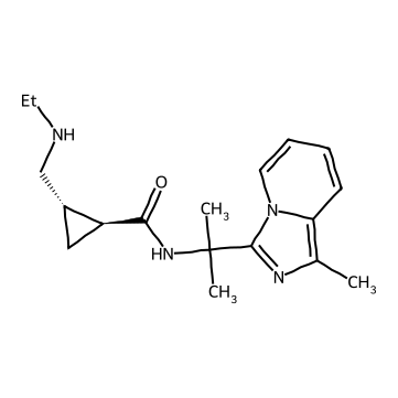 CCNC[C@H]1C[C@@H]1C(=O)NC(C)(C)c1nc(C)c2ccccn12